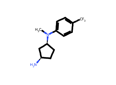 CN(c1ccc(C(F)(F)F)cc1)[C@H]1CC[C@@H](N)C1